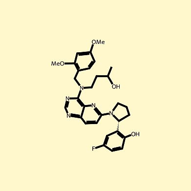 COc1ccc(CN(CCC(C)O)c2ncnc3ccc(N4CCC[C@@H]4c4cc(F)ccc4O)nc23)c(OC)c1